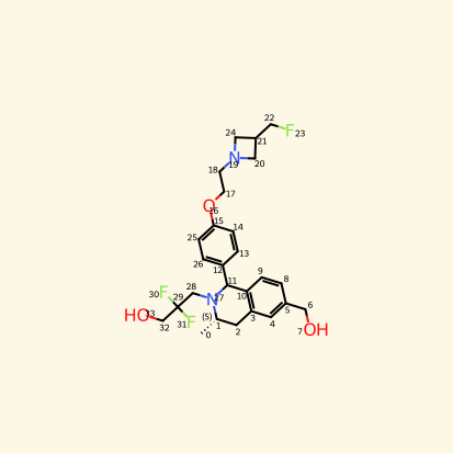 C[C@H]1Cc2cc(CO)ccc2C(c2ccc(OCCN3CC(CF)C3)cc2)N1CC(F)(F)CO